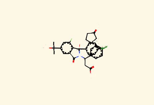 CC(C)(O)c1cc(F)c2c(c1)C(=O)N(C(CC(=O)O)c1ccc(Cl)cc1)[C@@]2(O[C@H]1CCC(=O)C1)c1ccc(Cl)cc1